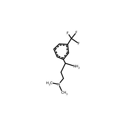 CN(C)CCC(N)c1cccc(C(F)(F)F)c1